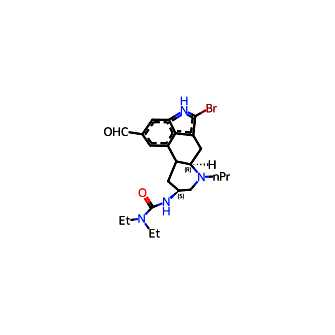 CCCN1C[C@@H](NC(=O)N(CC)CC)CC2c3cc(C=O)cc4[nH]c(Br)c(c34)C[C@H]21